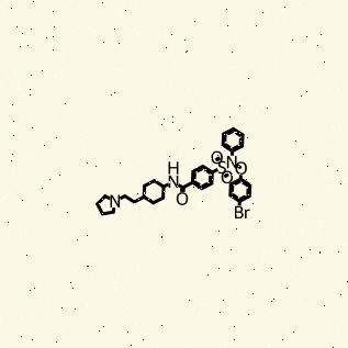 O=C(NC1CCC(CCN2CCCC2)CC1)c1ccc(S(=O)(=O)N(Oc2ccc(Br)cc2)c2ccccc2)cc1